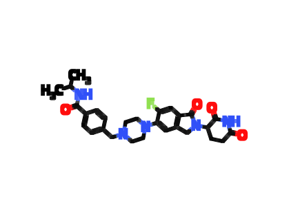 CC(C)NC(=O)c1ccc(CN2CCN(c3cc4c(cc3F)C(=O)N(C3CCC(=O)NC3=O)C4)CC2)cc1